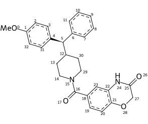 COc1ccc([C@@H](c2ccccc2)C2CCN(C(=O)c3ccc4c(c3)NC(=O)CO4)CC2)cc1